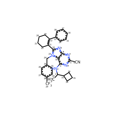 CC(Nc1nc(C#N)nc2nc(C3=C(c4ccccc4)CCCC3)n(Cc3ccc(C(F)(F)F)cc3)c12)C1CCC1